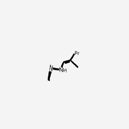 C=NN/C=C(\C)C(C)C